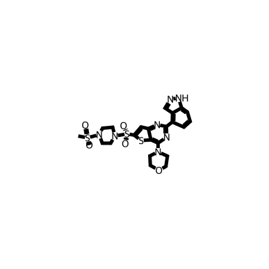 CS(=O)(=O)N1CCN(S(=O)(=O)c2cc3nc(-c4cccc5[nH]ncc45)nc(N4CCOCC4)c3s2)CC1